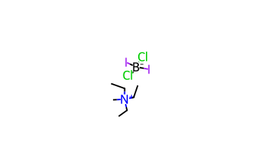 CC[N+](C)(CC)CC.Cl[B-](Cl)(I)I